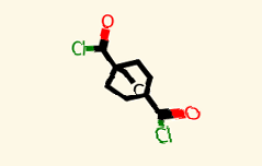 O=C(Cl)C12CCC(C(=O)Cl)(CC1)CC2